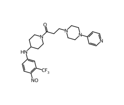 O=Nc1ccc(NC2CCN(C(=O)CCN3CCN(c4ccncc4)CC3)CC2)cc1C(F)(F)F